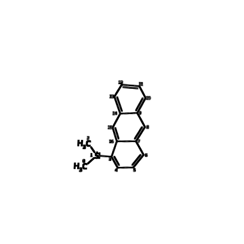 C[Si](C)c1cccc2cc3ccccc3cc12